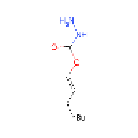 CCCCCC=COC(=O)NN